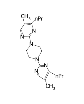 CCCc1nc(N2CCN(c3ncc(C)c(CCC)n3)CC2)ncc1C